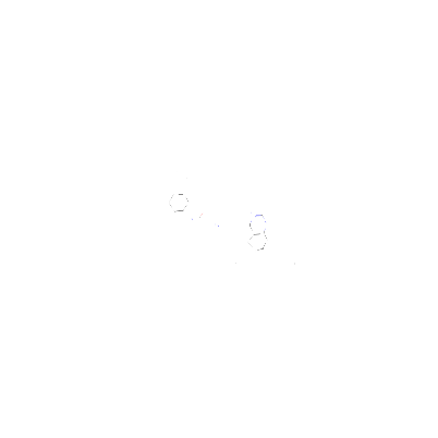 COc1cc2ncnc(C3CCN(CC(=O)Nc4ccc(C(C)C)cc4)CC3)c2cc1OC